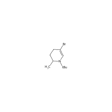 CC1CCC(Br)=CN1C(C)(C)C